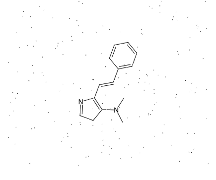 CN(C)C1=C(C=Cc2ccccc2)N=CC1